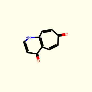 O=c1ccc2[nH]ccc(=O)c2cc1